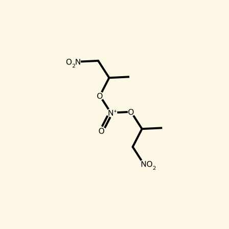 CC(C[N+](=O)[O-])O[N+](=O)OC(C)C[N+](=O)[O-]